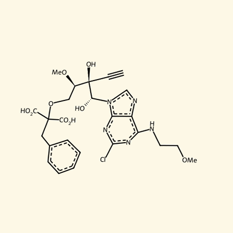 C#C[C@@](O)([C@@H](COC(Cc1ccccc1)(C(=O)O)C(=O)O)OC)[C@@H](O)n1cnc2c(NCCOC)nc(Cl)nc21